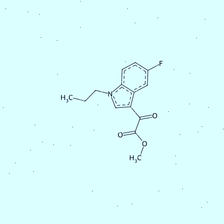 CCCn1cc(C(=O)C(=O)OC)c2cc(F)ccc21